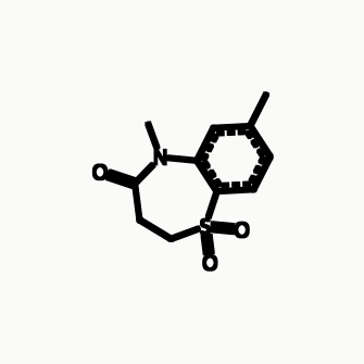 Cc1ccc2c(c1)N(C)C(=O)CCS2(=O)=O